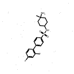 CC1(N)CCC(NS(=O)(=O)c2ccc(-c3ccc(F)cc3F)cc2)CC1